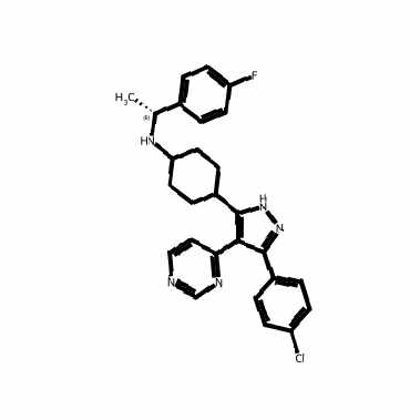 C[C@@H](NC1CCC(c2[nH]nc(-c3ccc(Cl)cc3)c2-c2ccncn2)CC1)c1ccc(F)cc1